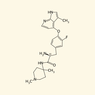 Cc1c[nH]c2nccc(Oc3ccc(C[C@H](N)C(=O)NC4(C)CCN(C)CC4)cc3F)c12